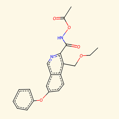 CCOCc1c(C(=O)NOC(C)=O)ncc2cc(Oc3ccccc3)ccc12